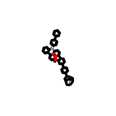 CC1(C)c2cc(-c3ccc(C4CC5CC6CCC4C(C6)C5)cc3)ccc2-c2ccc(N(c3ccc(-c4ccccc4)cc3)c3ccccc3-c3ccccc3)cc21